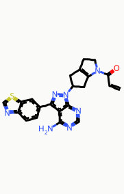 C=CC(=O)N1CCC2=C1CC(n1nc(-c3ccc4ncsc4c3)c3c(N)ncnc31)C2